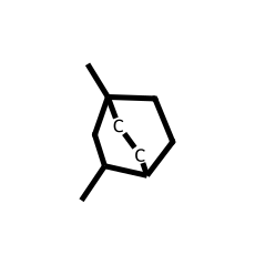 CC1CC2(C)CCC1CC2